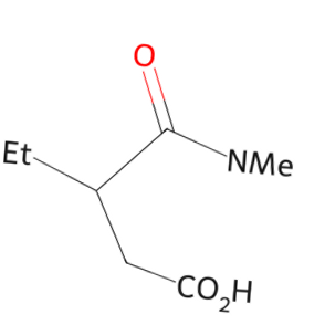 CCC(CC(=O)O)C(=O)NC